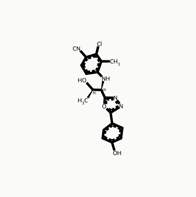 [C-]#[N+]c1ccc(N[C@@H](c2nnc(-c3ccc(O)cc3)o2)[C@@H](C)O)c(C)c1Cl